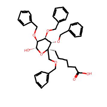 O=C(O)CCCCC[C@]1(COCc2ccccc2)O[C@H](O)[C@@H](OCc2ccccc2)[C@@H](OCc2ccccc2)[C@@H]1OCc1ccccc1